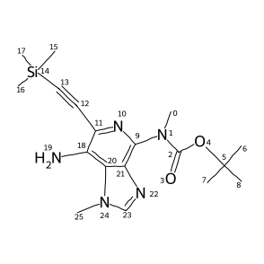 CN(C(=O)OC(C)(C)C)c1nc(C#C[Si](C)(C)C)c(N)c2c1ncn2C